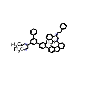 C=C/C=C(\C=C/C)c1cc(C2=CCCC=C2)cc(-c2ccc(-c3ccc4c(c3)-c3c(cccc3/C(N)=C/C(=C\Cc3ccccc3)c3ccccc3)C4)cc2)c1